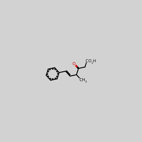 CC(C=Cc1ccccc1)C(=O)CC(=O)O